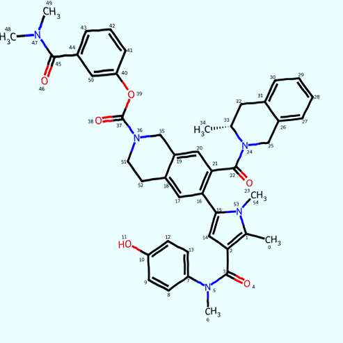 Cc1c(C(=O)N(C)c2ccc(O)cc2)cc(-c2cc3c(cc2C(=O)N2Cc4ccccc4C[C@H]2C)CN(C(=O)Oc2cccc(C(=O)N(C)C)c2)CC3)n1C